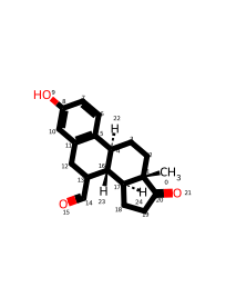 C[C@]12CC[C@@H]3c4ccc(O)cc4CC(C=O)[C@H]3[C@@H]1CCC2=O